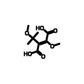 COC(C(=O)O)=C(C(=O)O)C(C)(C)OC